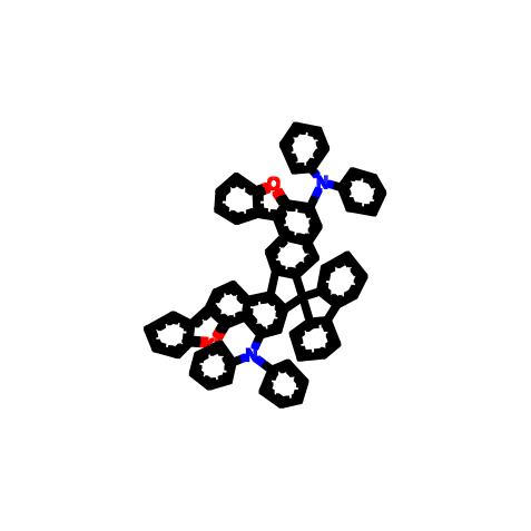 c1ccc(N(c2ccccc2)c2cc3cc4c(cc3c3c2oc2ccccc23)-c2c(cc(N(c3ccccc3)c3ccccc3)c3c2ccc2c5ccccc5oc23)C42c3ccccc3-c3ccccc32)cc1